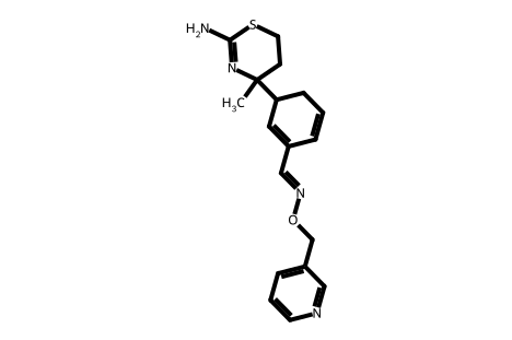 CC1(C2C=C(/C=N/OCc3cccnc3)C=CC2)CCSC(N)=N1